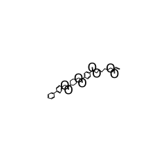 C=CC(=O)OCCCCOC(=O)c1ccc(C(=O)OC2CCC(C(=O)Oc3ccc(-c4ccccc4)cc3)CC2)cc1